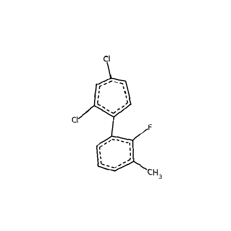 Cc1cccc(-c2ccc(Cl)cc2Cl)c1F